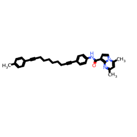 Cc1ccc(C#CCCCCCCC#Cc2ccc(NC(=O)c3ccn4c(C)cc(C)nc34)cc2)cc1